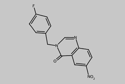 O=c1c2cc([N+](=O)[O-])ccc2ncn1Cc1ccc(F)cc1